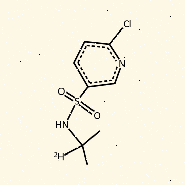 [2H]C(C)(C)NS(=O)(=O)c1ccc(Cl)nc1